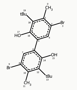 Cc1c(Br)cc(-c2cc(Br)c(C)c(C(C)(C)C)c2O)c(O)c1C(C)(C)C